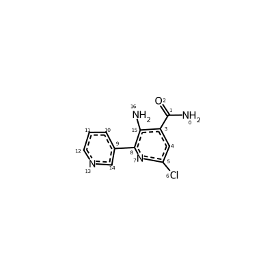 NC(=O)c1cc(Cl)nc(-c2cccnc2)c1N